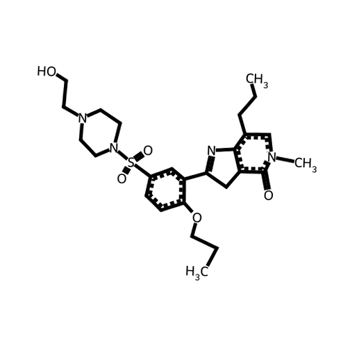 CCCOc1ccc(S(=O)(=O)N2CCN(CCO)CC2)cc1C1=Nc2c(CCC)cn(C)c(=O)c2C1